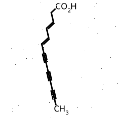 CC#CC#CC#C/C=C/C=C/CC(=O)O